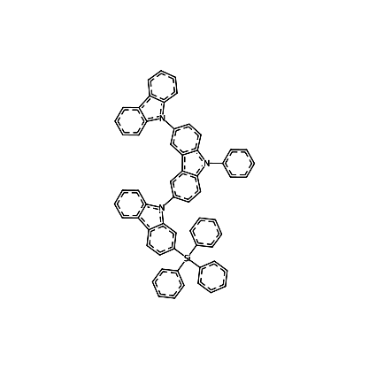 c1ccc(-n2c3ccc(-n4c5ccccc5c5ccccc54)cc3c3cc(-n4c5ccccc5c5ccc([Si](c6ccccc6)(c6ccccc6)c6ccccc6)cc54)ccc32)cc1